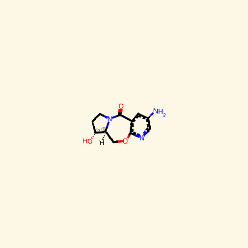 Nc1cnc2c(c1)C(=O)N1CC[C@@H](O)[C@@H]1CO2